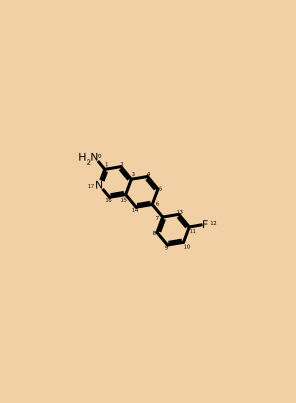 Nc1cc2ccc(-c3cccc(F)c3)cc2cn1